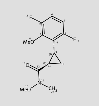 COc1c(F)ccc(F)c1[C@@H]1C[C@H]1C(=O)N(C)OC